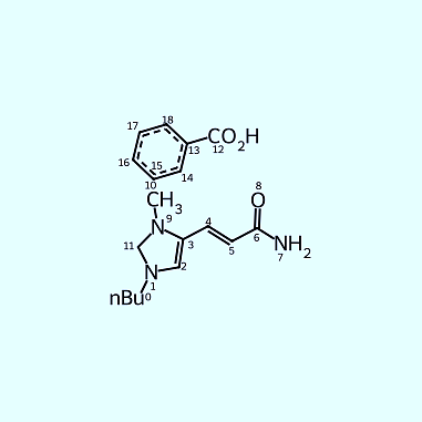 CCCCN1C=C(C=CC(N)=O)N(C)C1.O=C(O)c1ccccc1